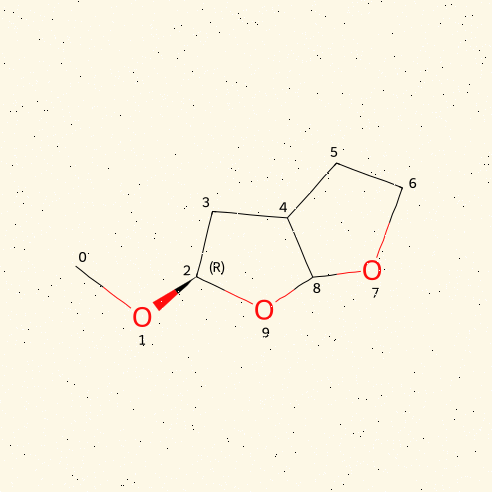 CO[C@H]1CC2CCOC2O1